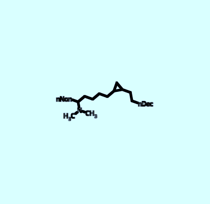 CCCCCCCCCCCCC1CC1CCCCC(CCCCCCCCC)N(C)C